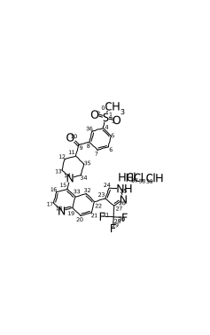 CS(=O)(=O)c1cccc(C(=O)C2CCN(c3ccnc4ccc(-c5c[nH]nc5C(F)(F)F)cc34)CC2)c1.Cl.Cl.Cl